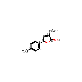 CCCCCCCCCC1=C[C@H](c2ccc(C(C)(C)C)cc2)OC1=O